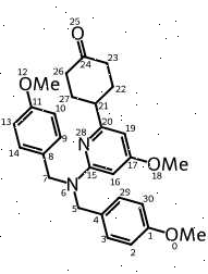 COc1ccc(CN(Cc2ccc(OC)cc2)c2cc(OC)cc(C3CCC(=O)CC3)n2)cc1